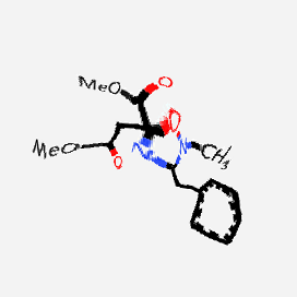 COC(=O)CC1(C(=O)OC)N=C(Cc2ccccc2)N(C)O1